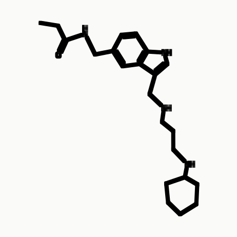 CCC(=O)NCc1ccc2[nH]cc(CNCCCNC3CCCCC3)c2c1